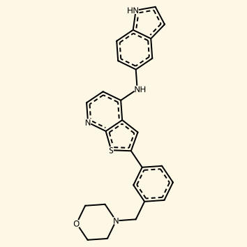 c1cc(CN2CCOCC2)cc(-c2cc3c(Nc4ccc5[nH]ccc5c4)ccnc3s2)c1